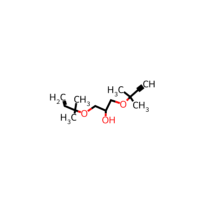 C#CC(C)(C)OCC(O)COC(C)(C)C=C